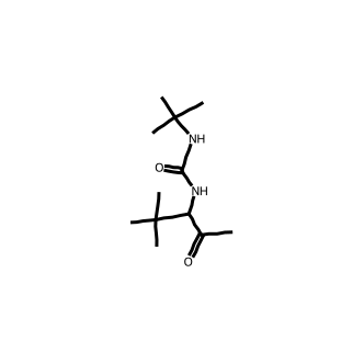 CC(=O)C(NC(=O)NC(C)(C)C)C(C)(C)C